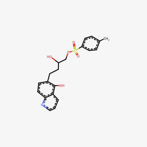 Cc1ccc(S(=O)(=O)OCC(O)CCc2ccc3ncccc3c2O)cc1